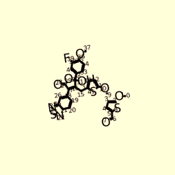 COc1ccc(C=O)s1.COc1ccc(CC2=C(c3ccc4nsnc4c3)C(=O)OC2(O)c2ccc(OC)c(F)c2)s1